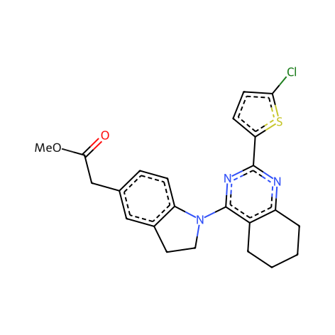 COC(=O)Cc1ccc2c(c1)CCN2c1nc(-c2ccc(Cl)s2)nc2c1CCCC2